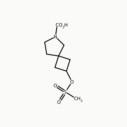 CS(=O)(=O)OC1CC2(CCN(C(=O)O)C2)C1